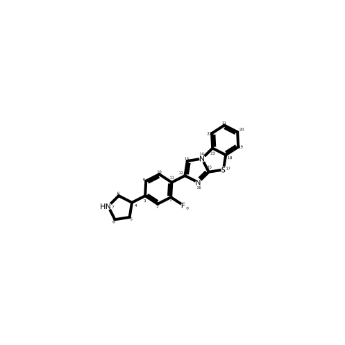 Fc1cc(C2CCNC2)ccc1-c1cn2c(n1)sc1ccccc12